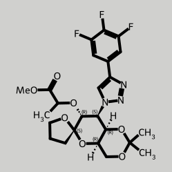 COC(=O)C(C)O[C@@H]1[C@@H](n2cc(-c3cc(F)c(F)c(F)c3)nn2)[C@H]2OC(C)(C)OC[C@H]2O[C@@]12CCCO2